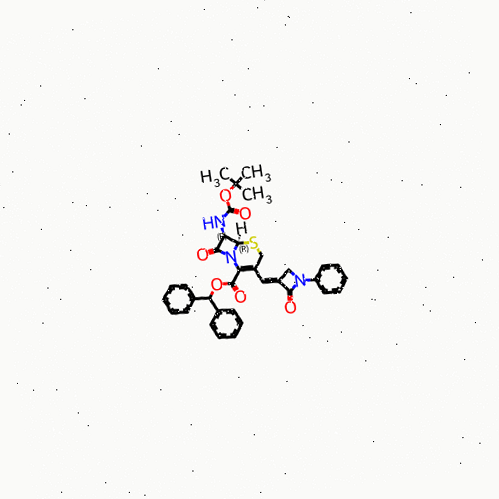 CC(C)(C)OC(=O)N[C@@H]1C(=O)N2C(C(=O)OC(c3ccccc3)c3ccccc3)=C(C=C3CN(c4ccccc4)C3=O)CS[C@H]12